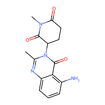 Cc1nc2cccc(N)c2c(=O)n1C1CCC(=O)N(C)C1=O